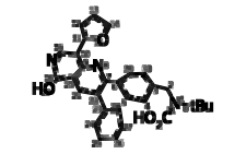 CC(C)(C)N(Cc1ccc(-c2nc3c(-c4ccco4)cnc(O)c3cc2-c2ccccc2)cc1)C(=O)O